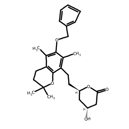 Cc1c(CC[C@@H]2C[C@@H](O)CC(=O)O2)c2c(c(C)c1OCc1ccccc1)CCC(C)(C)O2